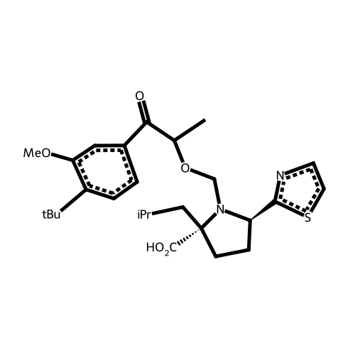 COc1cc(C(=O)C(C)OCN2[C@@H](c3nccs3)CC[C@]2(CC(C)C)C(=O)O)ccc1C(C)(C)C